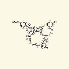 COc1ccc(S(=O)(=O)NC(=O)[C@@]2(O)CC(=O)N(C)CC/C=C/[C@H](OC)[C@@H]3CC[C@H]3CN3CCCCc4cc(Cl)ccc4COc4ccc2cc43)cn1